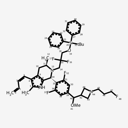 C=C/C=C\c1c(C)[nH]c2c1C[C@@H](C)N(CC(F)(F)CO[Si](c1ccccc1)(c1ccccc1)C(C)(C)C)[C@@H]2c1c(F)cc(C(OC)C2CN(CCCF)C2)cc1F